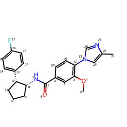 COc1cc(C(=O)N[C@@H]2CCC[C@@H]2c2ccc(F)cc2)ccc1-n1cnc(C)c1